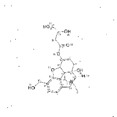 CN1CCC23c4c5ccc(CO)c4OC2C(OC(=O)C[C@@H](O)C(=O)O)=CC[C@@]3(O)[C@H]1C5